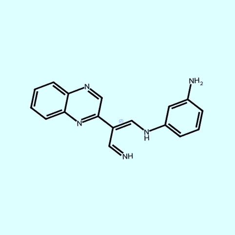 N=C/C(=C\Nc1cccc(N)c1)c1cnc2ccccc2n1